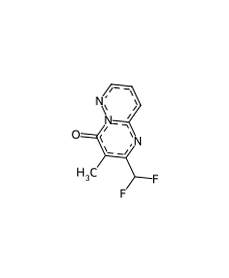 Cc1c(C(F)F)nc2cccnn2c1=O